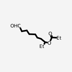 CCC(=O)OC(CC)CCCCCCC=O